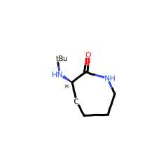 CC(C)(C)N[C@@H]1CCCCNC1=O